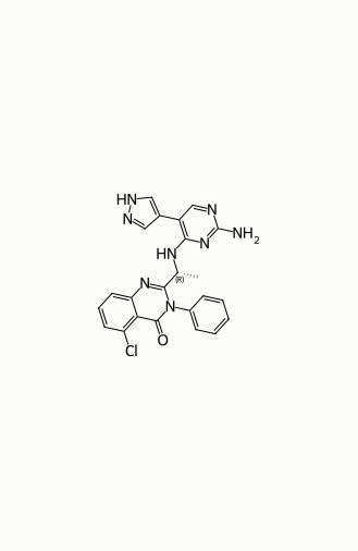 C[C@@H](Nc1nc(N)ncc1-c1cn[nH]c1)c1nc2cccc(Cl)c2c(=O)n1-c1ccccc1